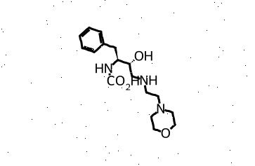 O=C(O)N[C@@H](Cc1ccccc1)[C@H](O)CNCCN1CCOCC1